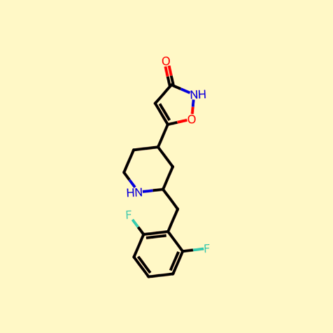 O=c1cc(C2CCNC(Cc3c(F)cccc3F)C2)o[nH]1